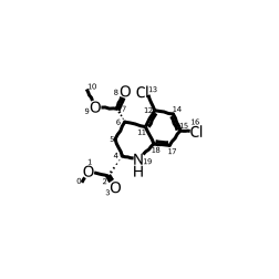 COC(=O)[C@@H]1C[C@H](C(=O)OC)c2c(Cl)cc(Cl)cc2N1